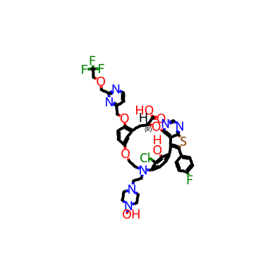 O=C(O)[C@H]1Cc2cc(ccc2OCc2ccnc(COCC(F)(F)F)n2)OCCN(CCN2CCN(O)CC2)c2ccc(c(O)c2Cl)-c2c(-c3ccc(F)cc3)sc3ncnc(c23)O1